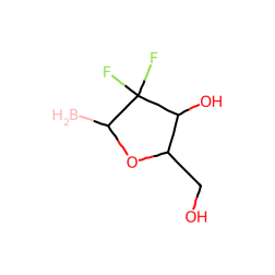 BC1OC(CO)C(O)C1(F)F